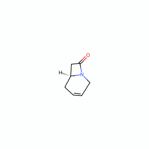 O=C1C[C@@H]2CC=CCN12